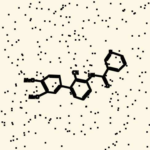 COc1ccc(-c2cccc(NC(=O)c3cccnc3)c2C#N)cc1OC